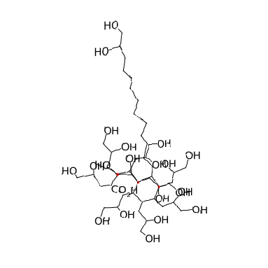 O=C(O)C(CC(O)CO)C(CC(O)CO)C(CC(O)CO)C(CC(O)CO)C(CC(O)CO)C(CC(O)CO)C(CC(O)CO)C(CC(O)CO)C(CCCCCCCCCCCC(O)CO)CC(O)CO